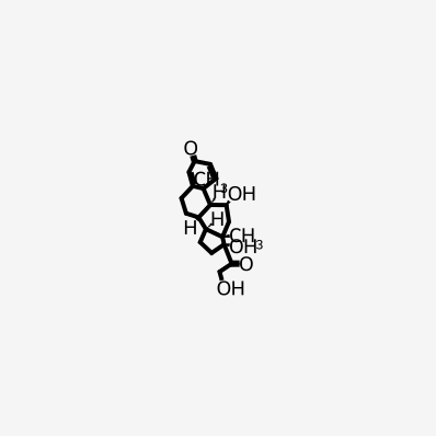 C[C@]12C=CC(=O)C=C1CC[C@@H]1[C@@H]2[C@@H](O)C[C@@]2(C)[C@H]1CC[C@@]2(O)C(=O)CO